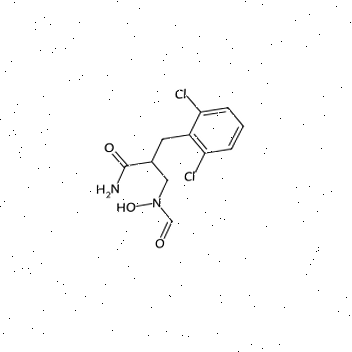 NC(=O)C(Cc1c(Cl)cccc1Cl)CN(O)C=O